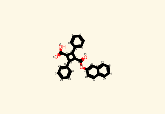 O=C(O)C1C(c2ccccc2)C(C(=O)Oc2ccc3ccccc3c2)C1c1ccccc1